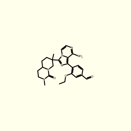 CCOc1cc(C=O)ccc1-c1nc(C2(C)CCC3CCN(C)C(=O)N3C2)n2ccnc(N)c12